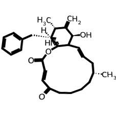 C=C1[C@@H](O)C2/C=C/C[C@H](C)CCCCC(=O)/C=C/C(=O)O[C@]23CN[C@@H](Cc2ccccc2)[C@@H]3[C@@H]1C